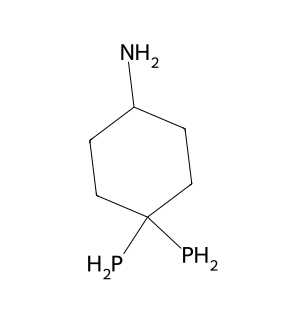 NC1CCC(P)(P)CC1